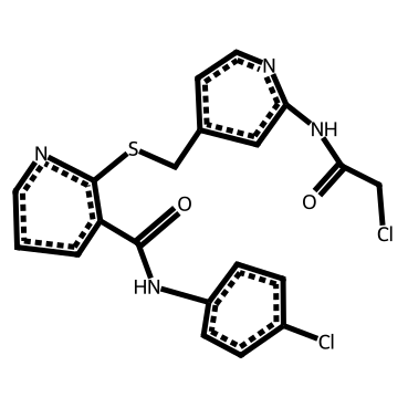 O=C(CCl)Nc1cc(CSc2ncccc2C(=O)Nc2ccc(Cl)cc2)ccn1